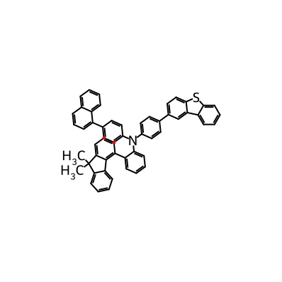 CC1(C)c2ccccc2-c2c(-c3ccccc3N(c3ccc(-c4ccc5sc6ccccc6c5c4)cc3)c3ccc(-c4cccc5ccccc45)cc3)cccc21